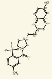 Cc1ccc(C(F)(F)F)c(C(=O)N2CC[C@H](CNc3cnc4cc(Cl)ccc4n3)C2)c1